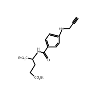 C#CCNc1ccc(C(=O)NC(CCC(=O)OCC)C(=O)OCC)cc1